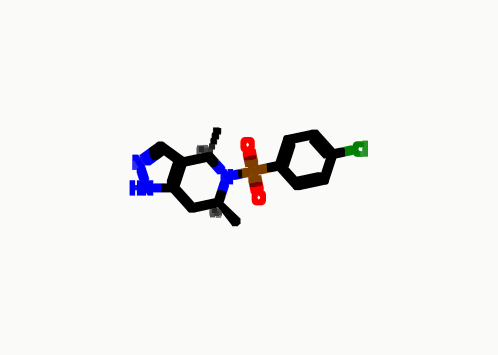 C[C@H]1Cc2[nH]ncc2[C@H](C)N1S(=O)(=O)c1ccc(Cl)cc1